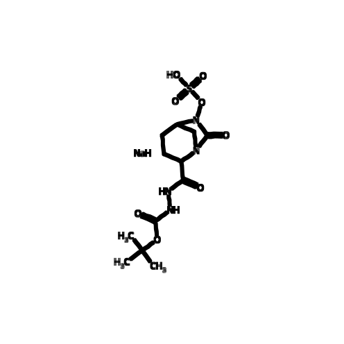 CC(C)(C)OC(=O)NNC(=O)C1CCC2CN1C(=O)N2OS(=O)(=O)O.[NaH]